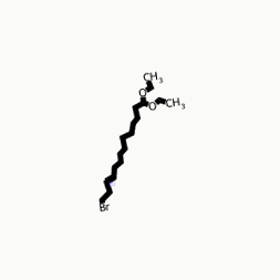 CCOC(CCCCCCCCC/C=C/CCBr)OCC